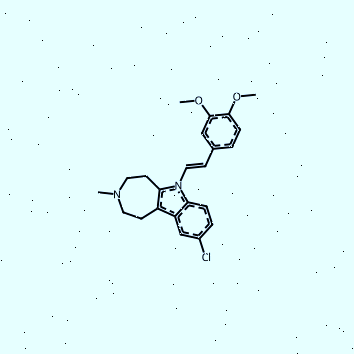 COc1ccc(/C=C/n2c3c(c4cc(Cl)ccc42)CCN(C)CC3)cc1OC